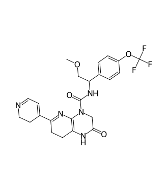 COCC(NC(=O)N1CC(=O)NC2=C1N=C(C1=CC=NCC1)CC2)c1ccc(OC(F)(F)F)cc1